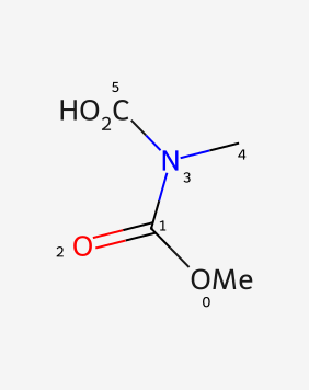 COC(=O)N(C)C(=O)O